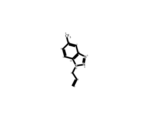 C=CCn1nnc2cc(C(F)(F)F)ccc21